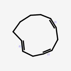 C1=C\C/C=C/CCCC/C=C\C/1